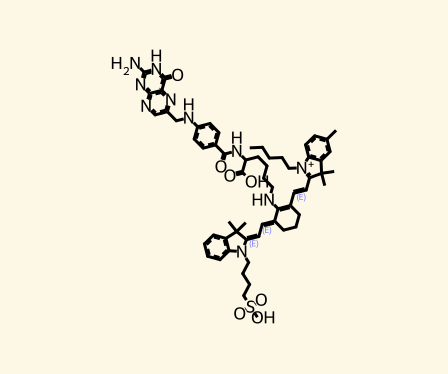 CCCCC[N+]1=C(/C=C/C2=C(NCCCCC(NC(=O)c3ccc(NCc4cnc5nc(N)[nH]c(=O)c5n4)cc3)C(=O)O)C(=C/C=C3/N(CCCCS(=O)(=O)O)c4ccccc4C3(C)C)/CCC2)C(C)(C)c2cc(C)ccc21